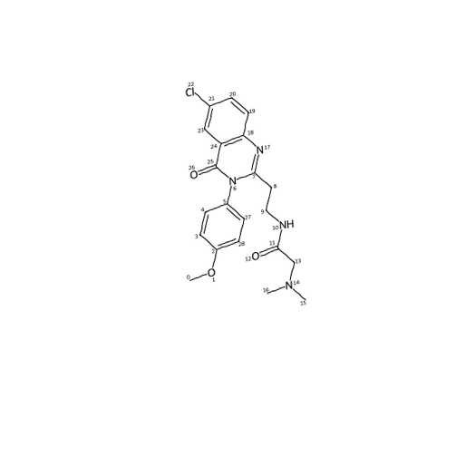 COc1ccc(-n2c(CCNC(=O)CN(C)C)nc3ccc(Cl)cc3c2=O)cc1